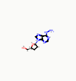 NNc1ncnc2c1ncn2[C@H]1CC[C@@H](CO)O1